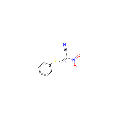 N#C/C(=C\Sc1ccccc1)[N+](=O)[O-]